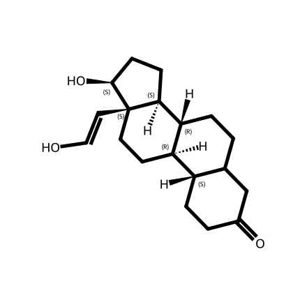 O=C1CC[C@H]2C(CC[C@@H]3[C@@H]2CC[C@]2(C=CO)[C@@H](O)CC[C@@H]32)C1